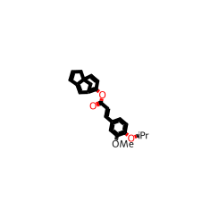 COc1cc(/C=C/C(=O)OC2=C3C=C4C=CCC4(C=C2)C3)ccc1OC(C)C